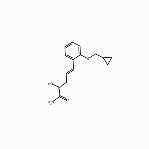 NC(=O)N(O)CC=Cc1ccccc1SCC1CC1